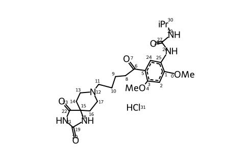 COc1cc(OC)c(C(=O)CCCCN2CCC3(CC2)NC(=O)NC3=O)cc1NC(=O)NC(C)C.Cl